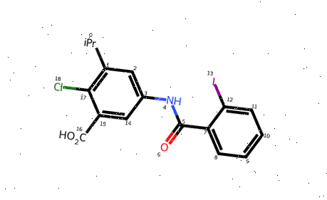 CC(C)c1cc(NC(=O)c2ccccc2I)cc(C(=O)O)c1Cl